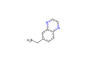 BCc1ccc2nccnc2c1